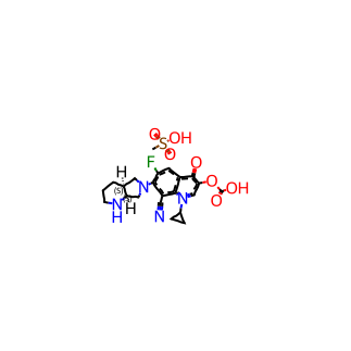 CS(=O)(=O)O.N#Cc1c(N2C[C@@H]3CCCN[C@@H]3C2)c(F)cc2c(=O)c(OC(=O)O)cn(C3CC3)c12